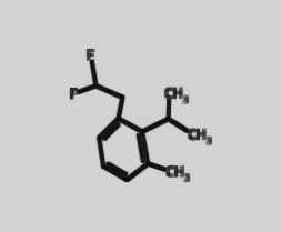 Cc1cccc(CC(F)F)c1C(C)C